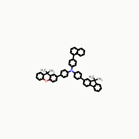 CC1(C)c2ccccc2Oc2ccc(-c3ccc(N(c4ccc(-c5ccc6c(c5)C(C)(C)c5ccccc5-6)cc4)c4ccc(-c5cccc6ccccc56)cc4)cc3)cc21